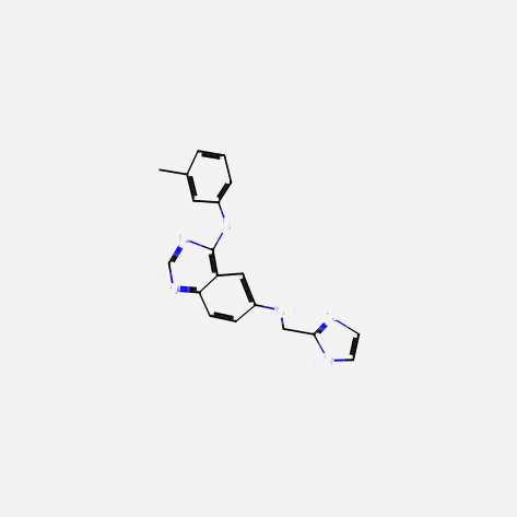 Cc1cccc(Nc2ncnc3ccc(NCc4ncc[nH]4)cc23)c1